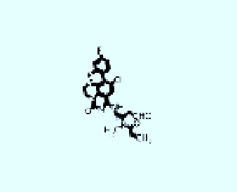 C=CC(=O)N(C)/C(=C/Nc1nc(=O)n2c3c(c(-c4ccc(F)cc4F)c(Cl)cc13)SCC2)CC=O